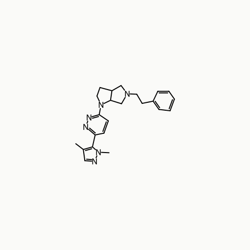 Cc1cnn(C)c1-c1ccc(N2CCC3CN(CCc4ccccc4)CC32)nn1